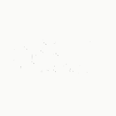 Cc1ccc(NC(=O)NC(C)c2ncnn2-c2ncccn2)cc1Cl